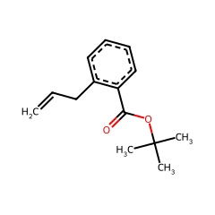 C=CCc1ccccc1C(=O)OC(C)(C)C